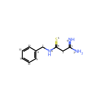 N=C(N)CC(=S)NCc1ccccc1